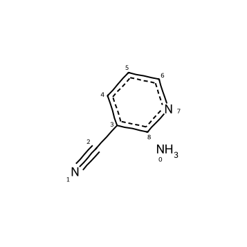 N.N#Cc1cccnc1